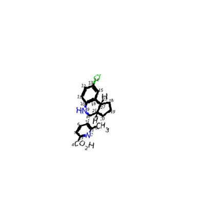 Cc1nc(C(=O)O)ccc1[C@@H]1Nc2ccc(Cl)cc2[C@@H]2CCC[C@@H]21